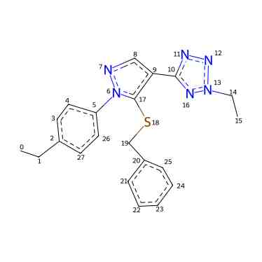 CCc1ccc(-n2ncc(-c3nnn(CC)n3)c2SCc2ccccc2)cc1